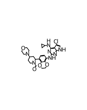 O=CN1CCC(N2CCOCC2)CC1c1ccc(Nc2nc(NC3CC3)c3c(Cl)c[nH]c3n2)c2c1OCCO2